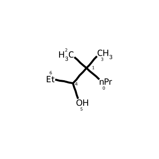 CCCC(C)(C)C(O)CC